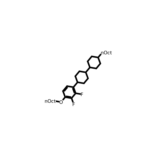 CCCCCCCCOc1ccc(C2CCC(C3CCC(CCCCCCCC)CC3)CC2)c(F)c1F